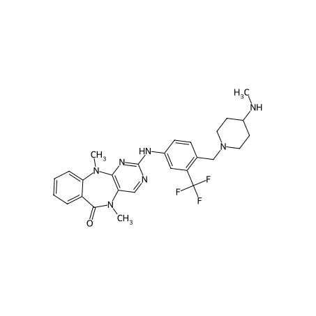 CNC1CCN(Cc2ccc(Nc3ncc4c(n3)N(C)c3ccccc3C(=O)N4C)cc2C(F)(F)F)CC1